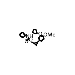 COc1ccc(C2CC2COC(=O)Nc2ccccc2)cc1OC1CCCC1